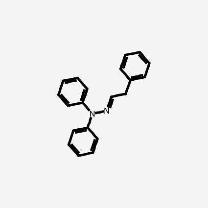 C(Cc1ccccc1)=NN(c1ccccc1)c1ccccc1